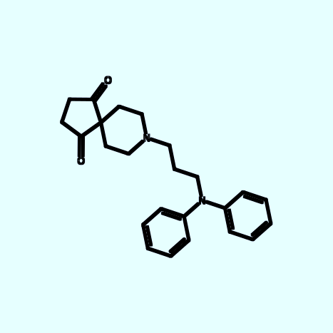 O=C1CCC(=O)C12CCN(CCCN(c1ccccc1)c1ccccc1)CC2